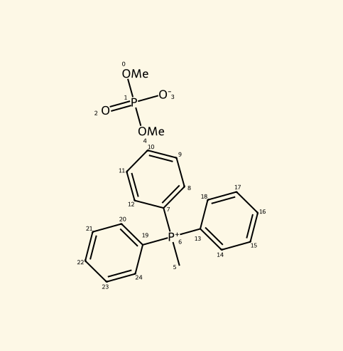 COP(=O)([O-])OC.C[P+](c1ccccc1)(c1ccccc1)c1ccccc1